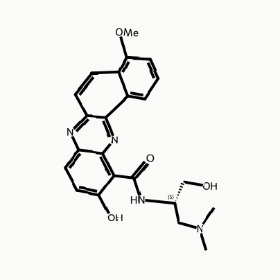 COc1cccc2c1ccc1nc3ccc(O)c(C(=O)N[C@H](CO)CN(C)C)c3nc12